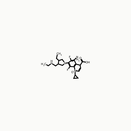 CCNCC1CN(c2c(F)c(N)c3c(c2F)[N+]([O-])(C2CC2)C=CC3C(=O)O)CC1CC